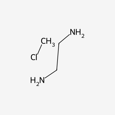 CCl.NCCN